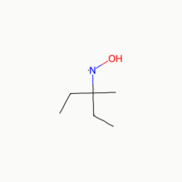 CCC(C)(CC)[N]O